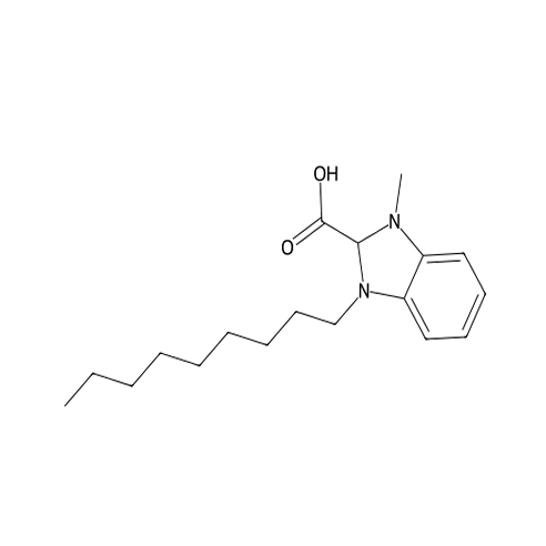 CCCCCCCCCN1c2ccccc2N(C)C1C(=O)O